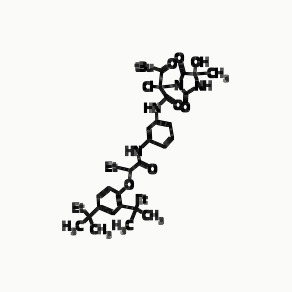 CCC(Oc1ccc(C(C)(C)CC)cc1C(C)(C)CC)C(=O)Nc1cccc(NC(=O)C(Cl)(C(=O)C(C)(C)C)N2C(=O)NC(C)(O)C2=O)c1